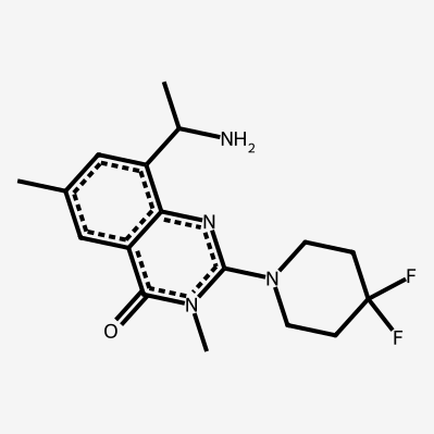 Cc1cc(C(C)N)c2nc(N3CCC(F)(F)CC3)n(C)c(=O)c2c1